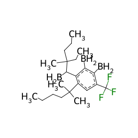 Bc1c(C(F)(F)F)cc(C(C)(C)CCCC)c(C(B)C(C)(CC)CCC)c1B